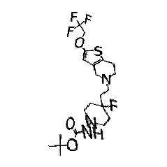 CC(C)(C)OC(=O)NN1CCC(F)(CCN2CCc3sc(OCC(F)(F)F)cc3C2)CC1